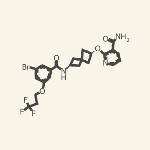 NC(=O)c1cccnc1O[C@H]1CC2(C[C@H](NC(=O)c3cc(Br)cc(OCCC(F)(F)F)c3)C2)C1